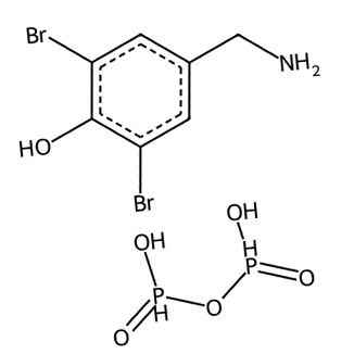 NCc1cc(Br)c(O)c(Br)c1.O=[PH](O)O[PH](=O)O